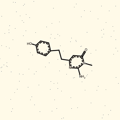 Cn1c(N)nc(CCc2ccc(O)cc2)cc1=O